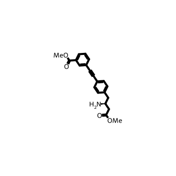 COC(=O)C[C@@H](N)Cc1ccc(C#Cc2cccc(C(=O)OC)c2)cc1